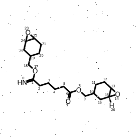 N=C(CCCCC(=O)OCC1CCC2O[C@@H]2C1)OCC1CCC2OC2C1